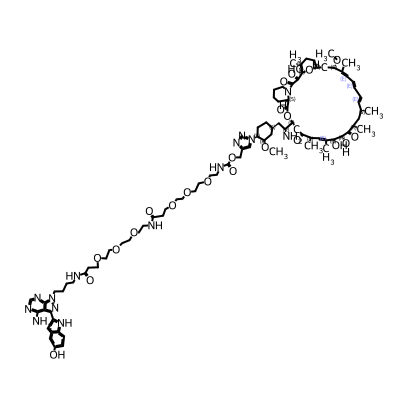 CO[C@H]1C[C@@H]2CC[C@@H](C)[C@@](O)(O2)C(=O)C(=O)N2CCCC[C@H]2C(=O)O[C@H]([C@H](N)C[C@@H]2CC[C@H](n3cc(COC(=O)NCCOCCOCCOCCC(=O)NCCOCCOCCOCCC(=O)NCCCCn4nc(-c5cc6cc(O)ccc6[nH]5)c5c(N)ncnc54)nn3)[C@H](OC)C2)CC(=O)[C@H](C)/C=C(\C)[C@@H](O)[C@@H](O)C(=O)[C@H](C)C[C@H](C)/C=C/C=C/C=C/1C